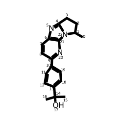 CC1CCc2nc3ccc(-c4ccc(C(C)(C)O)cc4)nc3n21